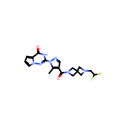 Cc1c(C(=O)N2CC3(CN(CC(F)F)C3)C2)cnn1-c1nn2cccc2c(=O)[nH]1